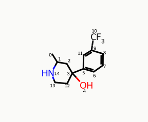 CC1CC(O)(c2cccc(C(F)(F)F)c2)CCN1